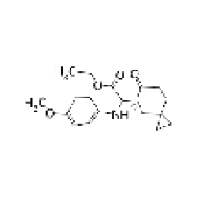 CCOC(=O)C(Nc1ccc(OC)cc1)[C@@H]1CC2(CCC1=O)CC2